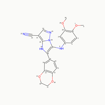 COc1ccc(Nc2c(-c3ccc4c(c3)OCCO4)[nH]c3c(C#N)cnn23)cc1OC